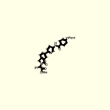 CCCCCc1ccc(C(=O)Nc2ccc(-c3ccc4c(c3)C(=O)N(C(C(=O)OC)C(C)C)C4)nc2)cc1